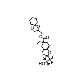 CCC1(C(=O)OCC2COC3(CCCCC3)O2)CC=C(OC(=O)C(F)(F)S(=O)(=O)O)C(C)C1